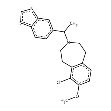 COc1ccc2c(c1Cl)CCN(C(C)c1ccc3scnc3c1)CC2